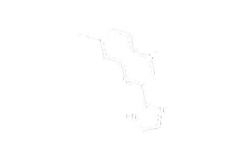 Brc1ccc2ncc(-c3ncc[nH]3)nc2c1